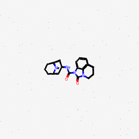 CN1C2CCCC1CC(NC(=O)n1c(=O)n3c4c(cccc41)CCC3)C2